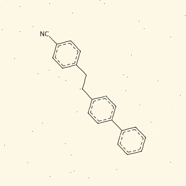 N#Cc1ccc(C[CH]c2ccc(-c3ccccc3)cc2)cc1